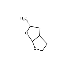 C[C@@H]1CC2CCOC2O1